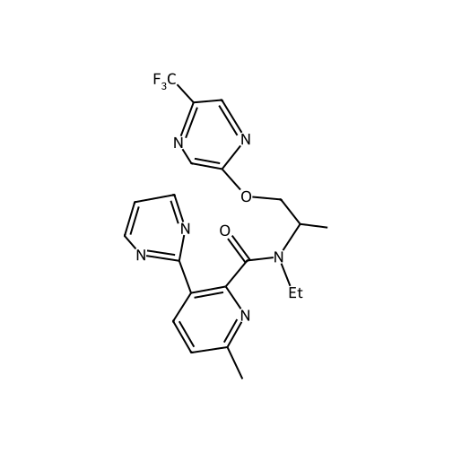 CCN(C(=O)c1nc(C)ccc1-c1ncccn1)C(C)COc1cnc(C(F)(F)F)cn1